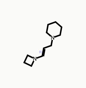 C(=C\N1CCC1)/CN1CCCCC1